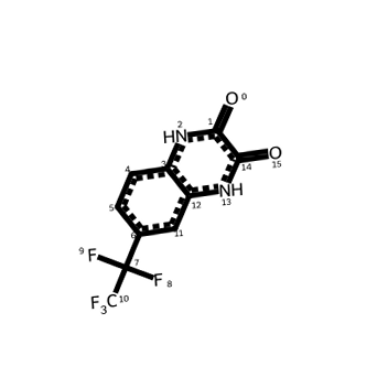 O=c1[nH]c2ccc(C(F)(F)C(F)(F)F)cc2[nH]c1=O